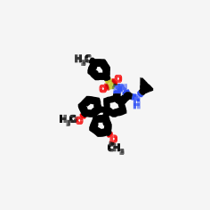 COc1cccc(C2(c3cccc(OC)c3)C=Cc3c(NC4CC4)nn(S(=O)(=O)c4ccc(C)cc4)c3C2)c1